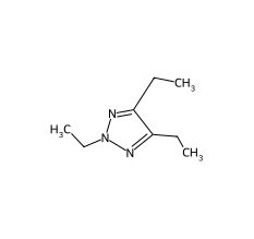 CCc1nn(CC)nc1CC